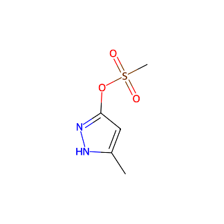 Cc1cc(OS(C)(=O)=O)n[nH]1